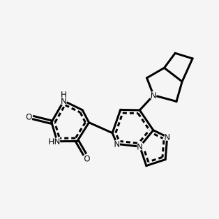 O=c1[nH]cc(-c2cc(N3CC4CCC4C3)c3nccn3n2)c(=O)[nH]1